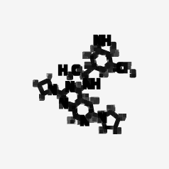 C[C@@H](Nc1nc(N2CCC2)nc2cnc(N3CCCC3)cc12)c1cc(N)cc(C(F)(F)F)c1